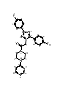 O=C(Cn1nc(-c2ccc(F)cc2)nc1-c1ccc(F)cc1)N1CCN(c2ccncn2)CC1